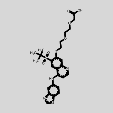 CC(C)(C)S(=O)(=O)c1cc2c(Nc3ccc4scnc4c3)ccnc2cc1OCCOCCOCC(=O)O